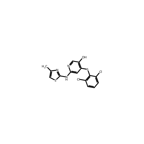 Cc1csc(Nc2cc(Sc3c(Cl)cccc3Cl)c(O)cn2)n1